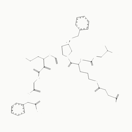 CCCC(NC(=O)[C@@H]1C[C@@H](OCc2ccccc2)CN1C(=O)C(CCCNC(=O)CCC(=O)O)NC(=O)OCC(C)C)C(=O)C(=O)NCC(=O)N[C@H](C(N)=O)c1ccccc1